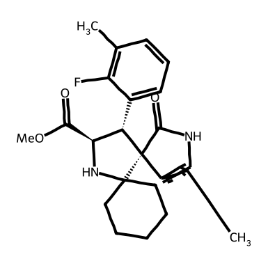 COC(=O)[C@@H]1NC2(CCCCC2)[C@@]2(C(=O)Nc3cc(C)ccc32)[C@H]1c1cccc(C)c1F